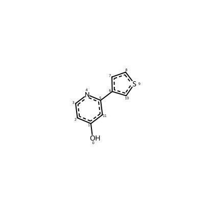 Oc1ccnc(-c2ccsc2)c1